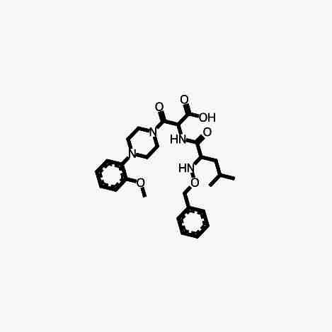 COc1ccccc1N1CCN(C(=O)C(NC(=O)C(CC(C)C)NOCc2ccccc2)C(=O)O)CC1